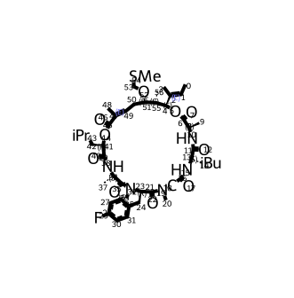 C/C=C(\C)[C@H]1OC(=O)[C@@H](C)NC(=O)[C@H](C(C)CC)NC(=O)CN(C)C(=O)[C@@H](Cc2ccc(F)cc2)N(C)C(=O)[C@H](C)NC(=O)[C@@H](CC(C)C)OC(=O)/C(C)=C/C[C@H](OCSC)[C@@H]1C